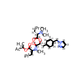 CC(=O)[C@@H](C)OC(=O)/C(=C\C(C)C)N(C)C(=O)[C@@H](Cc1ccc(Cn2cccn2)cc1)OC(=O)[C@H](CC(C)C)N(C)C